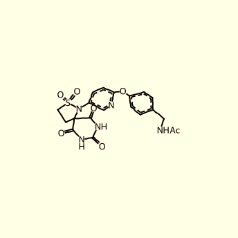 CC(=O)NCc1ccc(Oc2ccc(N3C4(CCS3(=O)=O)C(=O)NC(=O)NC4=O)cn2)cc1